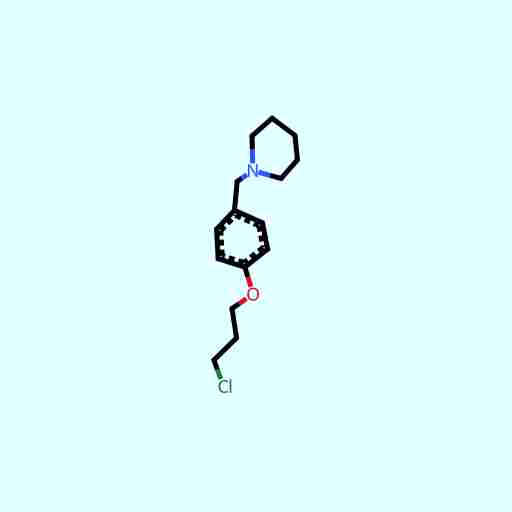 ClCCCOc1ccc(CN2CCCCC2)cc1